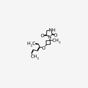 C=C/C(=C\C=C/C)OC1CC(C)(N2C(=O)CNC2=O)C1